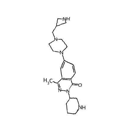 Cc1nn(C2CCCNC2)c(=O)c2ccc(N3CCN(CC4CNC4)CC3)cc12